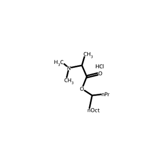 CCCCCCCCC(CCC)OC(=O)C(C)N(C)C.Cl